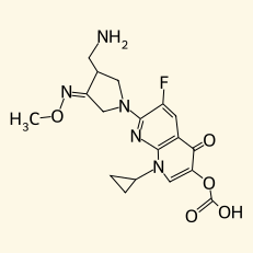 CO/N=C1\CN(c2nc3c(cc2F)c(=O)c(OC(=O)O)cn3C2CC2)CC1CN